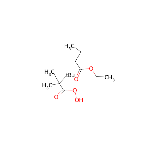 CC(C)(C)C(C)(C)C(=O)OO.CCCC(=O)OCC